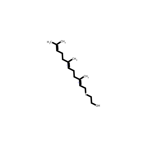 CC(C)=CCC/C(C)=C/CC/C(C)=C/CSCCO